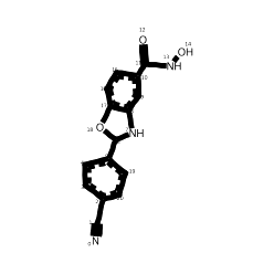 N#Cc1ccc(C2Nc3cc(C(=O)NO)ccc3O2)cc1